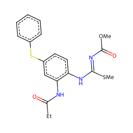 CCC(=O)Nc1cc(Sc2ccccc2)ccc1NC(=NC(=O)OC)SC